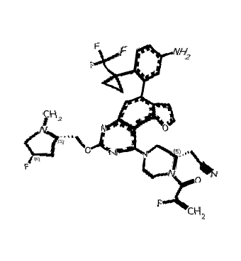 C=C(F)C(=O)N1CCN(c2nc(OC[C@@H]3C[C@@H](F)CN3C)nc3cc(-c4cc(N)ccc4C4(C(F)(F)F)CC4)c4ccoc4c23)C[C@@H]1CC#N